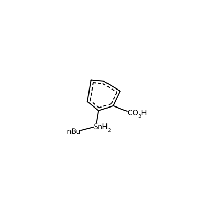 CCC[CH2][SnH2][c]1ccccc1C(=O)O